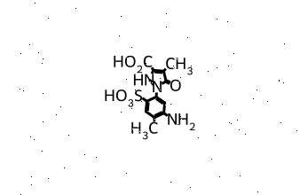 Cc1cc(S(=O)(=O)O)c(-n2[nH]c(C(=O)O)c(C)c2=O)cc1N